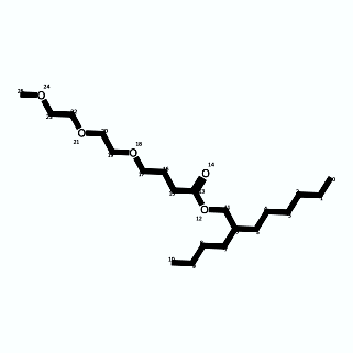 CCCCCCC(CCCC)COC(=O)CCCOCCOCCOC